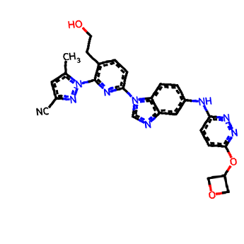 Cc1cc(C#N)nn1-c1nc(-n2cnc3cc(Nc4ccc(OC5COC5)nn4)ccc32)ccc1CCO